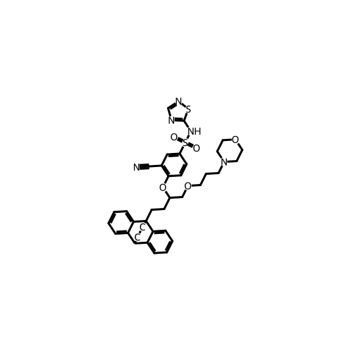 N#Cc1cc(S(=O)(=O)Nc2ncns2)ccc1OC(CCC12CCC(c3ccccc31)c1ccccc12)COCCCN1CCOCC1